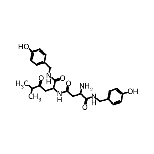 CC(C)C(=O)CC(NC(=O)CC(N)C(=O)NCc1ccc(O)cc1)C(=O)NCc1ccc(O)cc1